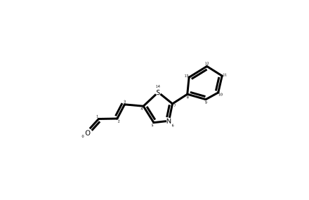 O=C/C=C/c1cnc(-c2ccccc2)s1